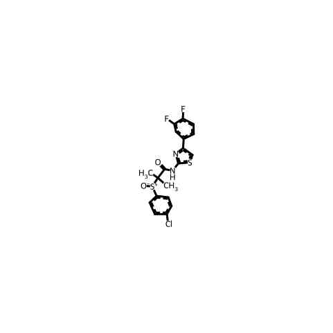 CC(C)(C(=O)Nc1nc(-c2ccc(F)c(F)c2)cs1)[S+]([O-])c1ccc(Cl)cc1